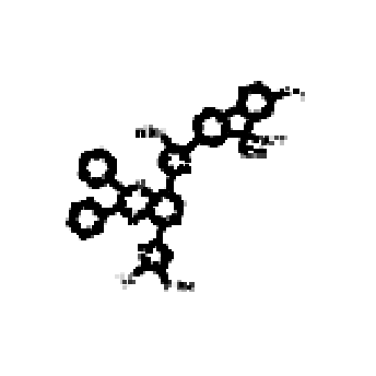 CCCCCCCCC1(CCCCCCCC)c2cc(C)ccc2-c2ccc(-c3sc(-c4ccc(-c5cc(CCCCCC)c(C)s5)c5nc(-c6ccccc6)c(-c6ccccc6)nc45)cc3CCCCCC)cc21